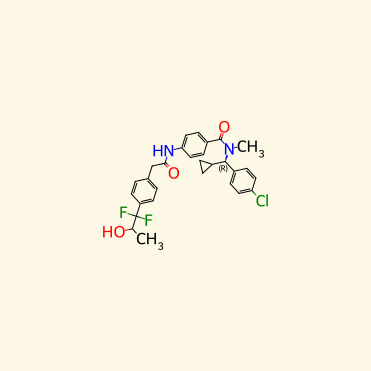 CC(O)C(F)(F)c1ccc(CC(=O)Nc2ccc(C(=O)N(C)[C@@H](c3ccc(Cl)cc3)C3CC3)cc2)cc1